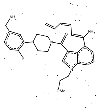 C=C/C=C\C=C(/N)c1cccc2c1c(C(=O)N1CCC(c3cc(CN)ccc3F)CC1)cn2CCOC